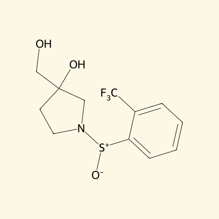 [O-][S+](c1ccccc1C(F)(F)F)N1CCC(O)(CO)C1